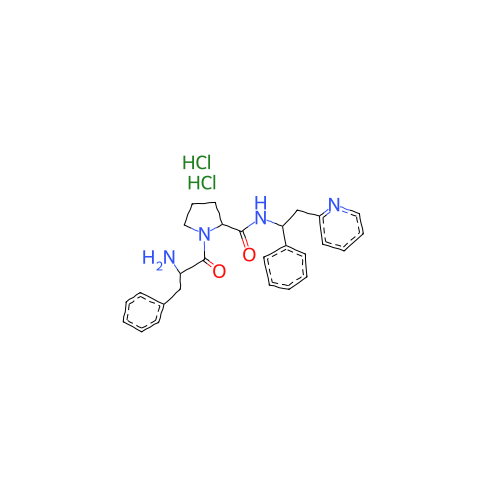 Cl.Cl.NC(Cc1ccccc1)C(=O)N1CCCC1C(=O)NC(Cc1ccccn1)c1ccccc1